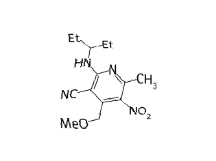 CCC(CC)Nc1nc(C)c([N+](=O)[O-])c(COC)c1C#N